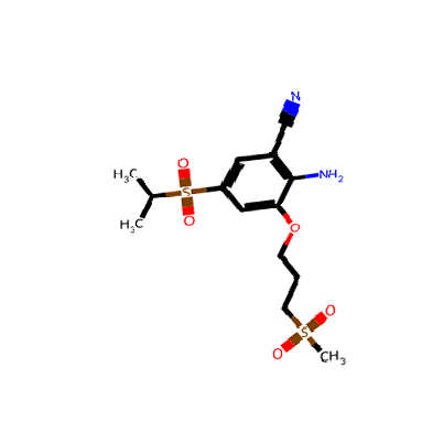 CC(C)S(=O)(=O)c1cc(C#N)c(N)c(OCCCS(C)(=O)=O)c1